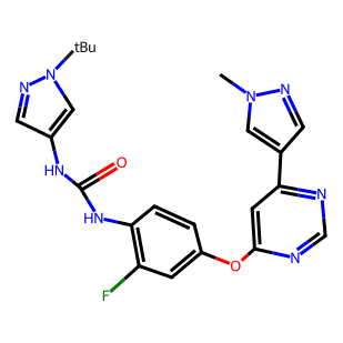 Cn1cc(-c2cc(Oc3ccc(NC(=O)Nc4cnn(C(C)(C)C)c4)c(F)c3)ncn2)cn1